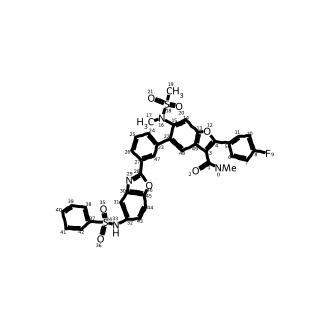 CNC(=O)c1c(-c2ccc(F)cc2)oc2cc(N(C)S(C)(=O)=O)c(-c3cccc(-c4nc5cc(NS(=O)(=O)c6ccccc6)ccc5o4)c3)cc12